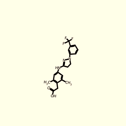 Cc1cc(NC2=NN(c3cccc(C(F)(F)F)c3)CC2)cc(C)c1CC(=O)O